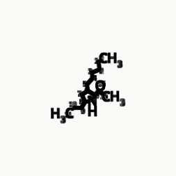 CCCCCCC1CC(CCC)NC1C(C)=O